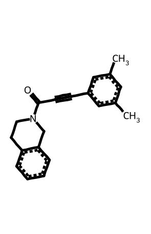 Cc1cc(C)cc(C#CC(=O)N2CCc3ccccc3C2)c1